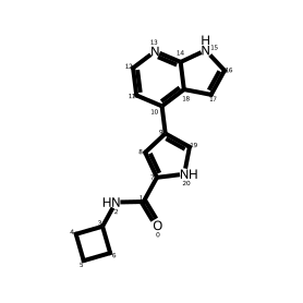 O=C(NC1CCC1)c1cc(-c2ccnc3[nH]ccc23)c[nH]1